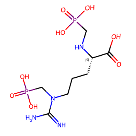 N=C(N)N(CCC[C@H](NCP(=O)(O)O)C(=O)O)CP(=O)(O)O